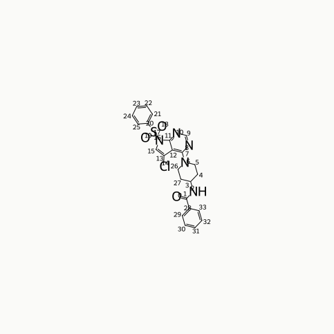 O=C(NC1CCN(c2ncnc3c2c(Cl)cn3S(=O)(=O)c2ccccc2)CC1)c1ccccc1